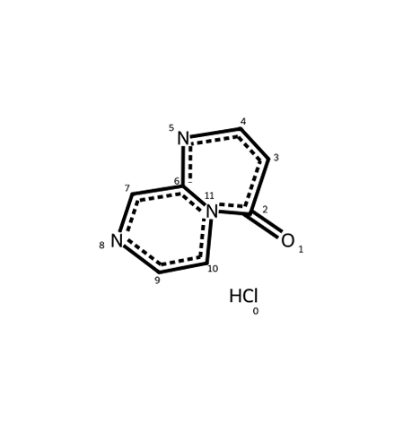 Cl.O=c1ccnc2cnccn12